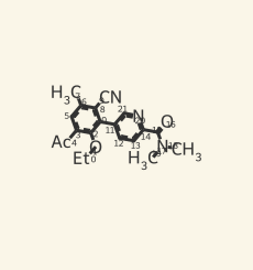 CCOc1c(C(C)=O)cc(C)c(C#N)c1-c1ccc(C(=O)N(C)C)nc1